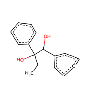 CCC(O)(c1ccccc1)C(O)c1ccccc1